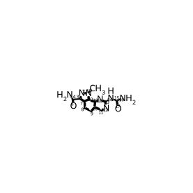 Cn1nc(C(N)=O)c2ccc3cnc(NC(N)=O)nc3c21